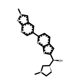 CN1CC[C@@H]([C@H](O)c2cc3ccc(-c4cnc5nn(C)cc5c4)nc3s2)C1